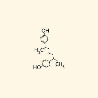 CCC(CCCC(C)c1ccc(O)cc1)c1ccc(O)cc1